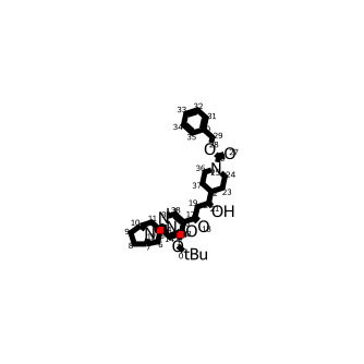 CC(C)(C)OC(=O)NC1CC2CCC(C1)N2c1ccc(C(=O)CC(O)C2CCN(C(=O)OCc3ccccc3)CC2)cn1